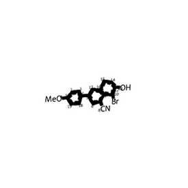 COc1ccc(-c2cc(C#N)c3c(Br)c(O)ccc3c2)cc1